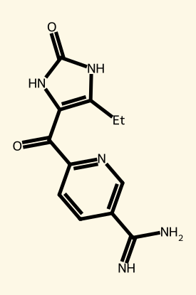 CCc1[nH]c(=O)[nH]c1C(=O)c1ccc(C(=N)N)cn1